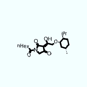 CCCCCCC(=O)N1CC(=O)/C(=C(/O)CO[C@H]2C[C@@H](C)CC[C@@H]2C(C)C)C1=O